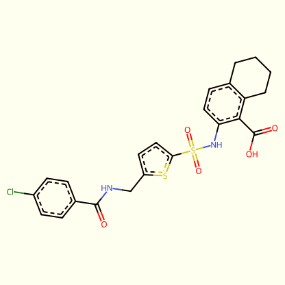 O=C(NCc1ccc(S(=O)(=O)Nc2ccc3c(c2C(=O)O)CCCC3)s1)c1ccc(Cl)cc1